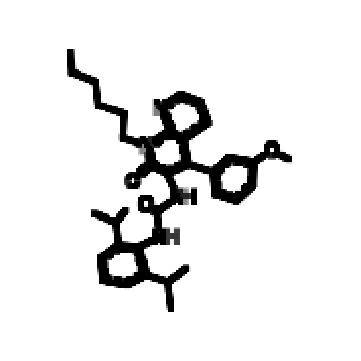 CCCCCCn1c(=O)c(NC(=O)Nc2c(C(C)C)cccc2C(C)C)c(-c2cccc(OC)c2)c2cccnc21